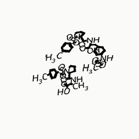 Cc1ccc(S(=O)(=O)N2CCCC2C(=O)NC(C)C(=O)O)cc1.Cc1ccc(S(=O)(=O)N2CCCC2C(=O)NC(Cc2ccc(NS(C)(=O)=O)cc2)C(=O)O)cc1